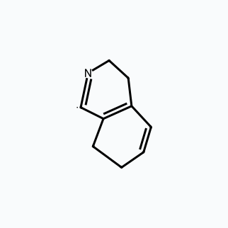 [C]1=NCCC2=C1CCC=C2